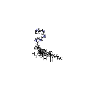 CC/C=C\C/C=C\C/C=C\C/C=C\C/C=C\CCCC(=O)OCC(C)(C)[C@@H](O)C(=O)NCCC(=O)NCCSC(C)=O